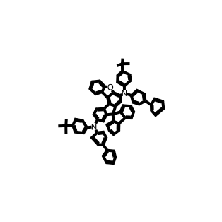 CC(C)(C)c1ccc(N(c2ccc(-c3ccccc3)cc2)c2ccc3c(c2)C2(c4ccccc4-c4ccccc42)c2cc(N(c4ccc(-c5ccccc5)cc4)c4ccc(C(C)(C)C)cc4)c4oc5ccccc5c4c2-3)cc1